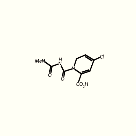 CNC(=O)NC(=O)N1CC=C(Cl)C=C1C(=O)O